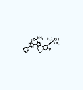 CC(C)(O)C#Cc1cc2c(cc1F)C1CC1=Cn1c-2nc(C(N)=O)c1-c1nc(-c2cccnc2)n[nH]1